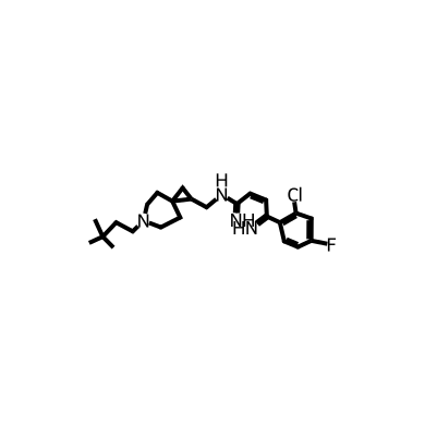 CC(C)(C)CCN1CCC2(CC1)CC2CNC(=N)/C=C\C(=N)c1ccc(F)cc1Cl